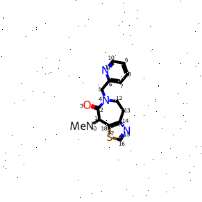 CNC1C(=O)N(Cc2ccccn2)CCc2ncsc21